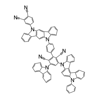 N#Cc1ccc(-n2c3ccccc3c3cc4c(cc32)c2ccccc2n4-c2ccc(-c3c(C#N)c(-n4c5ccccc5c5ccccc54)cc(-n4c5ccccc5c5c6c7ccccc7n(-c7ccccc7)c6ccc54)c3C#N)cc2)cc1C#N